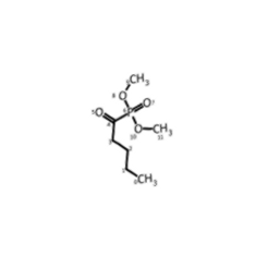 CCCCC(=O)P(=O)(OC)OC